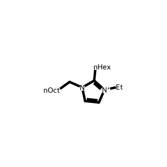 CCCCCCCCCn1cc[n+](CC)c1CCCCCC